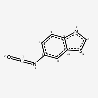 O=C=Nc1ccc2ncsc2c1